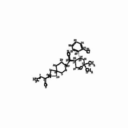 C=CC(=O)N1CC2(CCN(C(=O)[C@@H]3COC(C)(C)C[C@H]3c3ccccc3Cl)CC2)C1